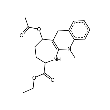 CCOC(=O)C1CCC(OC(C)=O)C2=C(N1)N(C)c1ccccc1C2